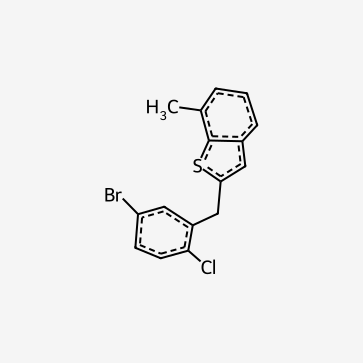 Cc1cccc2cc(Cc3cc(Br)ccc3Cl)sc12